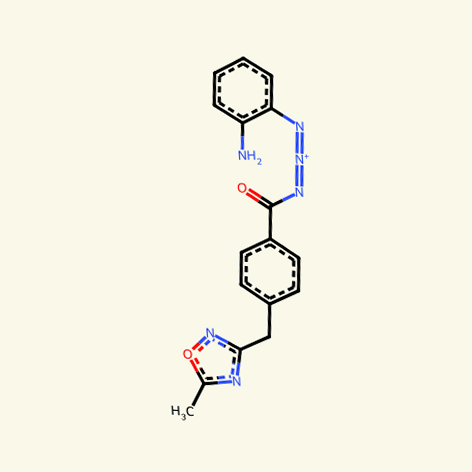 Cc1nc(Cc2ccc(C(=O)N=[N+]=Nc3ccccc3N)cc2)no1